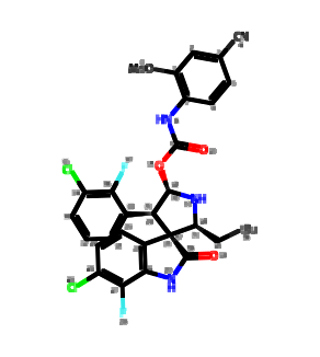 COc1cc(C#N)ccc1NC(=O)O[C@H]1N[C@@H](CC(C)(C)C)[C@@]2(C(=O)Nc3c2ccc(Cl)c3F)[C@H]1c1cccc(Cl)c1F